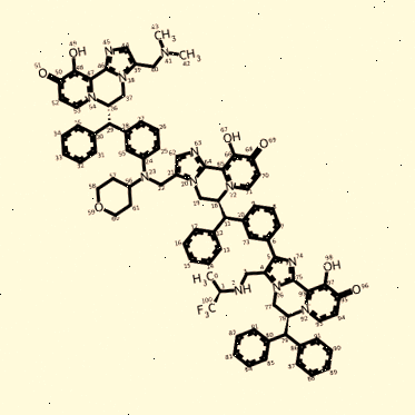 C[C@@H](NCc1c(-c2cccc(C(c3ccccc3)[C@H]3Cn4c(CN(c5cccc(C(c6ccccc6)[C@H]6Cn7c(CN(C)C)cnc7-c7c(O)c(=O)ccn76)c5)C5CCOCC5)cnc4-c4c(O)c(=O)ccn43)c2)nc2n1C[C@H](C(c1ccccc1)c1ccccc1)n1ccc(=O)c(O)c1-2)C(F)(F)F